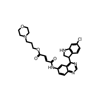 O=C(C=CC(=O)OCCCN1CCOCC1)Nc1ccc2ncnc(C3CNc4cc(Cl)ccc43)c2c1